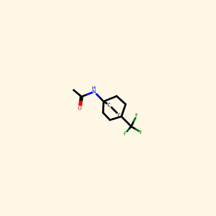 CC(=O)NC12CCC(C(F)(F)F)(CC1)CC2